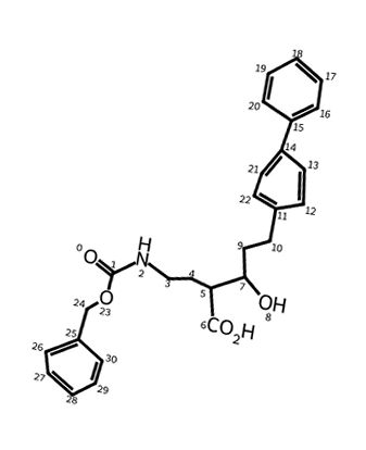 O=C(NCCC(C(=O)O)C(O)CCc1ccc(-c2ccccc2)cc1)OCc1ccccc1